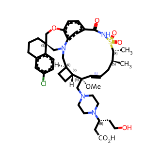 CO[C@@]1(CN2CCN([C@H](CCO)CC(=O)O)CC2)/C=C/C[C@H](C)[C@@H](C)S(=O)(=O)NC(=O)c2ccc3c(c2)N(C[C@@H]2CC[C@H]21)C[C@@]1(CCCc2cc(Cl)ccc21)CO3